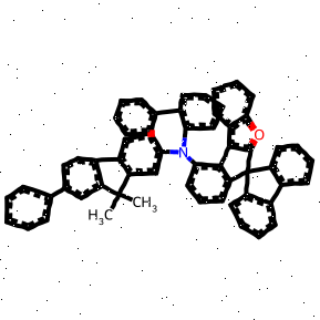 CC1(C)c2cc(-c3ccccc3)ccc2-c2ccc(N(c3ccccc3-c3ccccc3)c3cccc4c3-c3c(oc5ccccc35)C43c4ccccc4-c4ccccc43)cc21